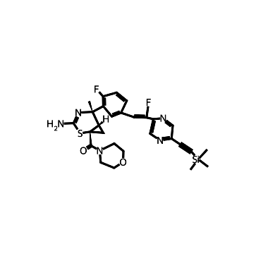 C[C@]1(c2cc(/C=C(\F)c3cnc(C#C[Si](C)(C)C)cn3)ccc2F)N=C(N)S[C@@]2(C(=O)N3CCOCC3)C[C@H]21